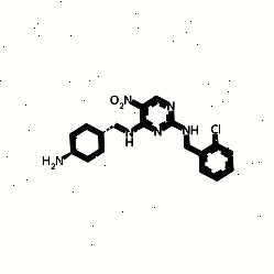 N[C@H]1CC[C@H](CNc2nc(NCc3ccccc3Cl)ncc2[N+](=O)[O-])CC1